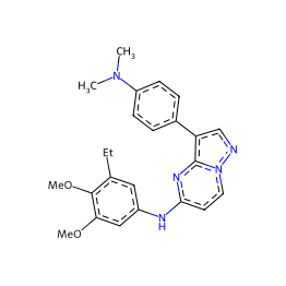 CCc1cc(Nc2ccn3ncc(-c4ccc(N(C)C)cc4)c3n2)cc(OC)c1OC